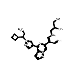 CCC(C1CCC1)n1cc(-c2nc(/C(C=N)=C/NCC(O)CO)cn3nccc23)cn1